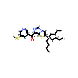 CCC[CH2][Sn]([CH2]CCC)([CH2]CCC)[c]1cn2cnc(C(=O)c3cncc(SC)c3)c2s1